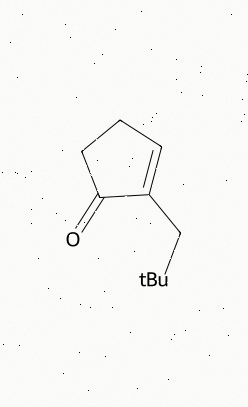 CC(C)(C)CC1=CCCC1=O